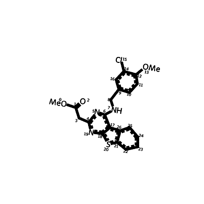 COC(=O)Cc1nc(NCc2ccc(OC)c(Cl)c2)c2c(n1)sc1ccccc12